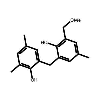 COCc1cc(C)cc(Cc2cc(C)cc(C)c2O)c1O